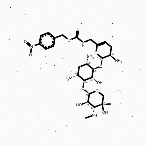 CN[C@@H]1[C@@H](O)[C@@H](O[C@@H]2[C@@H](O)[C@H](O[C@H]3OC(CNC(=O)OCc4ccc([N+](=O)[O-])cc4)=CC[C@H]3N)[C@@H](N)C[C@H]2N)OC[C@]1(C)O